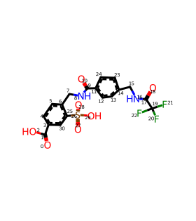 O=C(O)c1ccc(CNC(=O)c2ccc(CNC(=O)C(F)(F)F)cc2)c(S(=O)(=O)O)c1